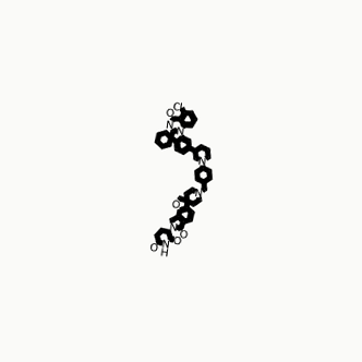 O=C1CC[C@H](N2Cc3c(ccc4c3OCC43CCN(CC4CCC(N5CCCC(c6ccc7c(c6)-n6c(nc(=O)c8c(Cl)cccc86)C76CCCCC6)C5)CC4)CC3)C2=O)C(=O)N1